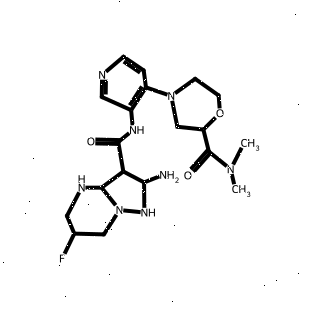 CN(C)C(=O)C1CN(c2ccncc2NC(=O)C2C(N)NN3CC(F)CNC23)CCO1